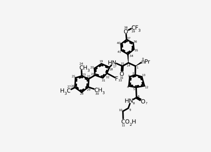 CCC[C@@H](c1ccc(C(=O)NCCC(=O)O)cc1)[C@@H](C(=O)Nc1ccc(-c2c(C)cc(C)cc2C)cc1F)c1ccc(OC(F)(F)F)cc1